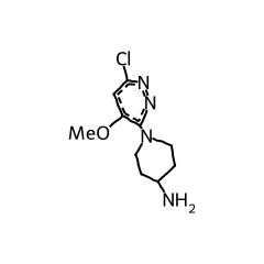 COc1cc(Cl)nnc1N1CCC(N)CC1